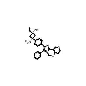 CC[C@]1(O)C[C@@](N)(c2ccc(-c3nc4n(c3-c3ccccc3)COc3ccncc3-4)cc2)C1